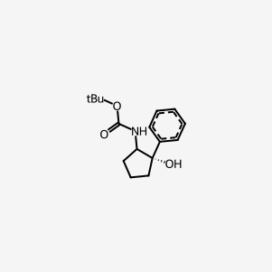 CC(C)(C)OC(=O)NC1CCC[C@]1(O)c1ccccc1